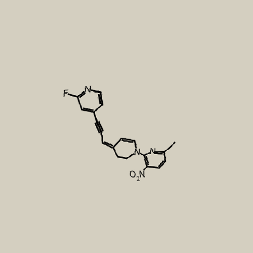 Cc1ccc([N+](=O)[O-])c(N2C=CC(=CC#Cc3ccnc(F)c3)CC2)n1